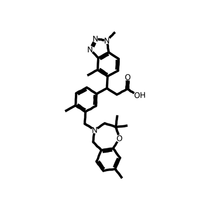 Cc1ccc2c(c1)OC(C)(C)CN(Cc1cc(C(CC(=O)O)c3ccc4c(nnn4C)c3C)ccc1C)C2